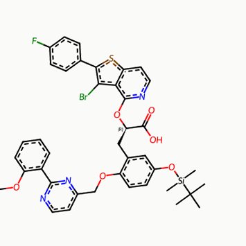 COc1ccccc1-c1nccc(COc2ccc(O[Si](C)(C)C(C)(C)C)cc2C[C@@H](Oc2nccc3sc(-c4ccc(F)cc4)c(Br)c23)C(=O)O)n1